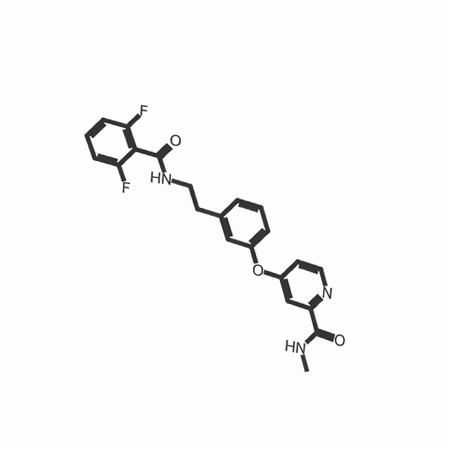 CNC(=O)c1cc(Oc2cccc(CCNC(=O)c3c(F)cccc3F)c2)ccn1